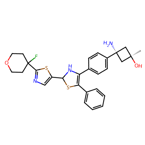 C[C@]1(O)C[C@@](N)(c2ccc(C3=C(c4ccccc4)SC(c4cnc(C5(F)CCOCC5)s4)N3)cc2)C1